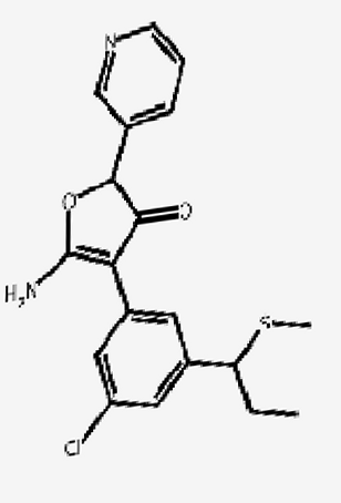 CCC(SC)c1cc(Cl)cc(C2=C(N)OC(c3cccnc3)C2=O)c1